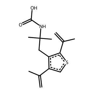 C=C(C)c1csc(C(=C)C)c1CC(C)(C)NC(=O)O